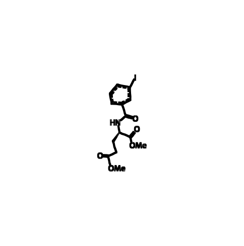 COC(=O)CC[C@@H](NC(=O)c1cccc(I)c1)C(=O)OC